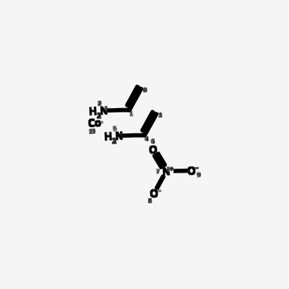 C=CN.C=CN.O=[N+]([O-])[O-].[Co]